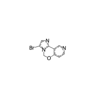 Brc1cnc2n1COc1ccncc1-2